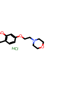 Cl.c1cc2c(cc1OCCN1CCOCC1)OCCC2